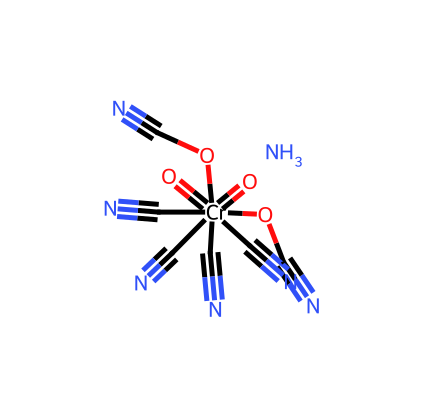 N.N#C[O][Cr](=[O])(=[O])([C]#N)([C]#N)([C]#N)([C]#N)[O]C#N